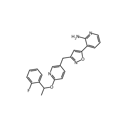 CC(Oc1ccc(Cc2cc(-c3cccnc3N)on2)cn1)c1ccccc1F